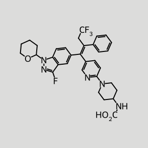 O=C(O)NC1CCN(c2ccc(/C(=C(/CC(F)(F)F)c3ccccc3)c3ccc4c(c3)c(F)nn4C3CCCCO3)cn2)CC1